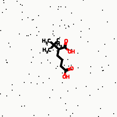 CC(C)(C)C(CCCC(=O)O)C(=O)O